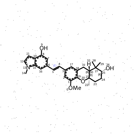 COc1cc(/C=C/c2cc(O)c3ccn(C)c3c2)cc2c1O[C@]1(C)CC[C@@H](O)C(C)(C)[C@H]1C2